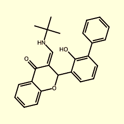 CC(C)(C)N/C=C1\C(=O)c2ccccc2OC1c1cccc(-c2ccccc2)c1O